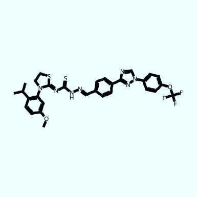 COc1ccc(C(C)C)c(N2CCS/C2=N\C(=S)N/N=C/c2ccc(-c3ncn(-c4ccc(OC(F)(F)F)cc4)n3)cc2)c1